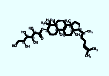 CC(C)=CCC[C@@H](C)[C@H]1CC[C@@]2(C)C3=C(CC[C@]12C)[C@@]1(C)CC[C@H](OC(=O)[C@H](O)[C@@H](O)[C@H](O)[C@H](O)CO)C(C)(C)[C@@H]1CC3